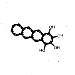 Oc1c(O)c(O)c2cc3cc4ccccc4cc3cc2c1O